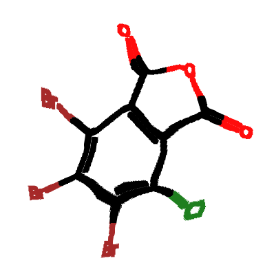 O=C1OC(=O)c2c(Br)c(Br)c(Br)c(Cl)c21